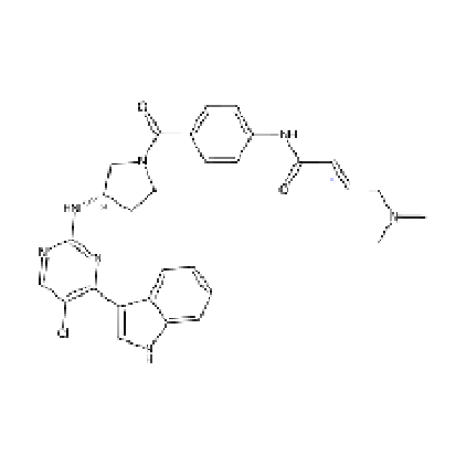 CN(C)C/C=C/C(=O)Nc1ccc(C(=O)N2CC[C@H](Nc3ncc(Cl)c(-c4c[nH]c5ccccc45)n3)C2)cc1